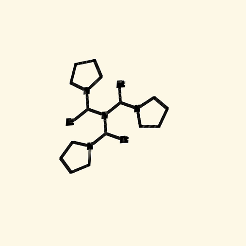 CCC(N1CCCC1)N(C(CC)N1CCCC1)C(CC)N1CCCC1